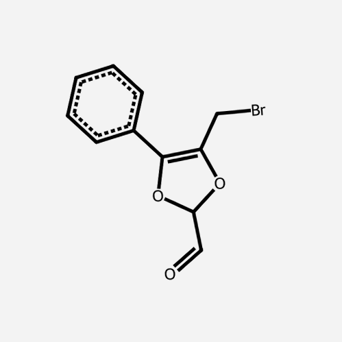 O=CC1OC(CBr)=C(c2ccccc2)O1